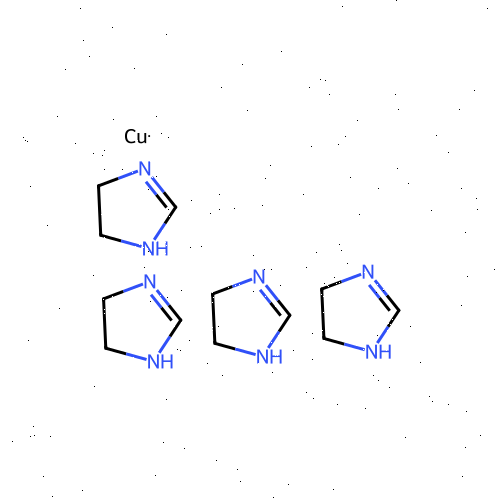 C1=NCCN1.C1=NCCN1.C1=NCCN1.C1=NCCN1.[Cu]